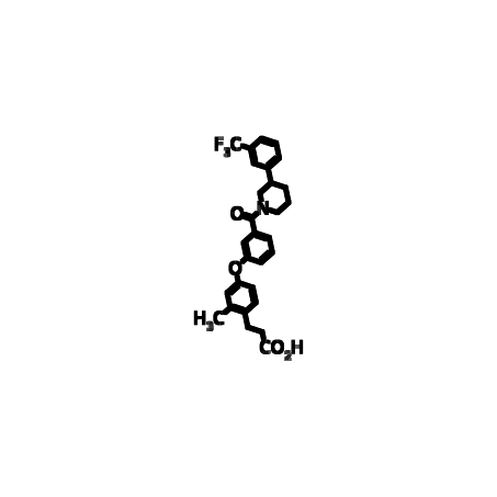 Cc1cc(Oc2cccc(C(=O)N3CCCC(c4cccc(C(F)(F)F)c4)C3)c2)ccc1CCC(=O)O